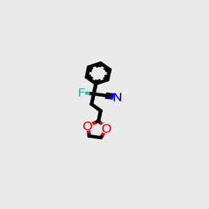 N#CC(F)(CCC1OCCO1)c1ccccc1